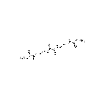 NCC(=O)NCCCOC(=O)C(=O)OCCCNC(=O)CN